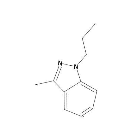 CCCn1nc(C)c2c[c]ccc21